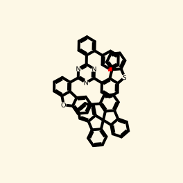 c1ccc(-c2ccccc2-c2nc(-c3cccc4oc5ccc(-c6cccc7c6C6(c8ccccc8-c8ccccc86)c6ccccc6-7)cc5c34)nc(-c3cccc4sc5ccccc5c34)n2)cc1